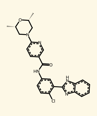 C[C@@H]1CN(c2ccc(C(=O)Nc3ccc(Cl)c(-c4nc5ccccc5[nH]4)c3)cn2)C[C@H](C)O1